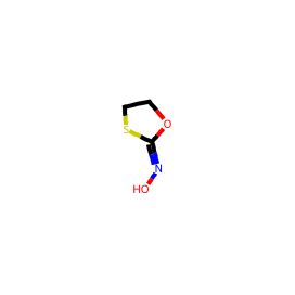 ON=C1OCCS1